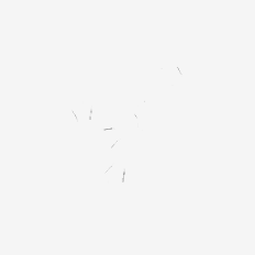 O=C(Cc1cc(-c2ccsc2)sc1-c1ccsc1)OCC1CC2C=CC1C2